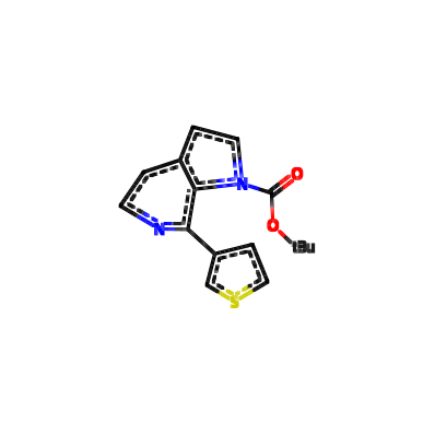 CC(C)(C)OC(=O)n1ccc2ccnc(-c3ccsc3)c21